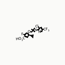 CC1(COc2cc(F)c(C(=O)O)cc2C2CC2)CN(c2ncc(C(F)(F)F)cc2Cl)C1